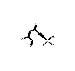 C=C/C(C)=C\C(=C)C#C[Si](C)(C)C